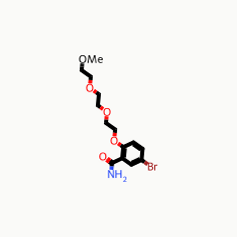 COCCOCCOCCOc1ccc(Br)cc1C(N)=O